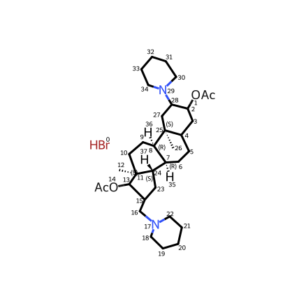 Br.CC(=O)OC1CC2CC[C@@H]3[C@@H](CC[C@]4(C)C(OC(C)=O)C(CN5CCCCC5)C[C@@H]34)[C@@]2(C)CC1N1CCCCC1